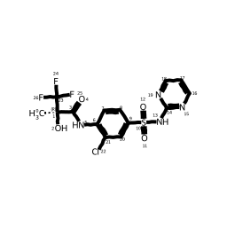 C[C@@](O)(C(=O)Nc1ccc(S(=O)(=O)Nc2ncccn2)cc1Cl)C(F)(F)F